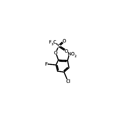 O=[N+]([O-])c1cc(Cl)cc(F)c1OS(=O)(=O)C(F)(F)F